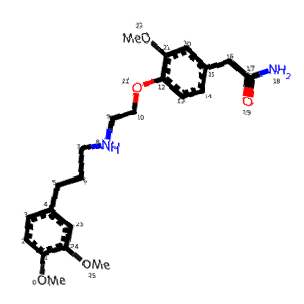 COc1ccc(CCCNCCOc2ccc(CC(N)=O)cc2OC)cc1OC